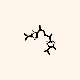 Cc1nc(C(C)CCC(C)c2cnc(C(C)C)s2)sc1C(C)C